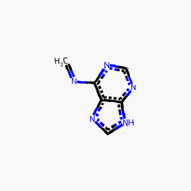 C=Nc1n[c]nc2[nH]cnc12